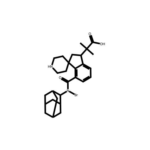 CC(C)(C(=O)O)C1CC2(CCNCC2)c2c(C(=O)N(Br)C3C4CC5CC(C4)CC3C5)cccc21